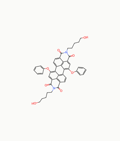 O=C1c2ccc3c4c(Oc5ccccc5)cc5c6c(ccc(c7c(Oc8ccccc8)cc(c2c37)C(=O)N1CCCCCO)c64)C(=O)N(CCCCCO)C5=O